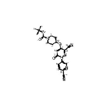 CC(C)(C)OC(=O)N1CCC(Oc2cc(=O)n(-c3ccc(C#N)nc3)nc2C#N)CC1